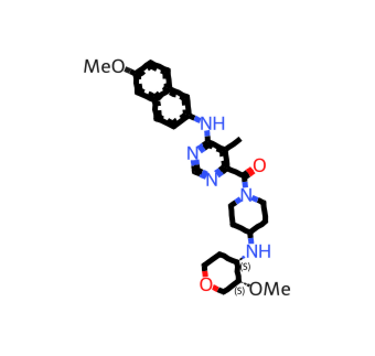 COc1ccc2cc(Nc3ncnc(C(=O)N4CCC(N[C@H]5CCOC[C@H]5OC)CC4)c3C)ccc2c1